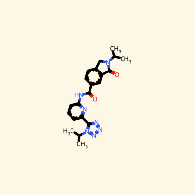 CC(C)N1Cc2ccc(C(=O)Nc3cccc(-c4nnnn4C(C)C)n3)cc2C1=O